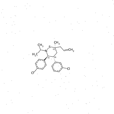 C=CC[C@@]1(C)C[C@H](c2cccc(Cl)c2)[C@@H](c2ccc(Cl)cc2)N(C(C)C)S1